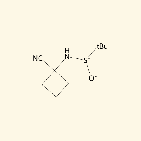 CC(C)(C)[S+]([O-])NC1(C#N)CCC1